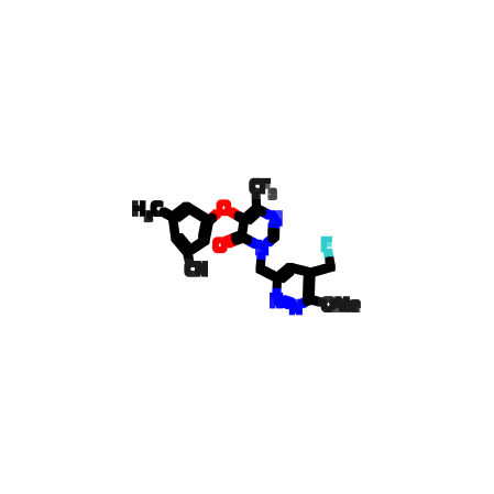 COc1nnc(Cn2cnc(C(F)(F)F)c(Oc3cc(C)cc(C#N)c3)c2=O)cc1CF